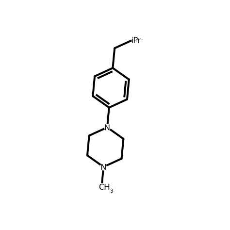 C[C](C)Cc1ccc(N2CCN(C)CC2)cc1